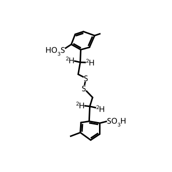 [2H]C([2H])(CSSCC([2H])([2H])c1cc(C)ccc1S(=O)(=O)O)c1cc(C)ccc1S(=O)(=O)O